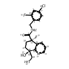 O=C(NCc1ccc(Cl)cc1F)[C@]1(F)CC[C@@](O)(CO)c2ncccc21